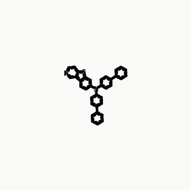 c1ccc(-c2ccc(N(c3ccc(-c4ccccc4)cc3)c3ccc4c(c3)sc3ccncc34)cc2)cc1